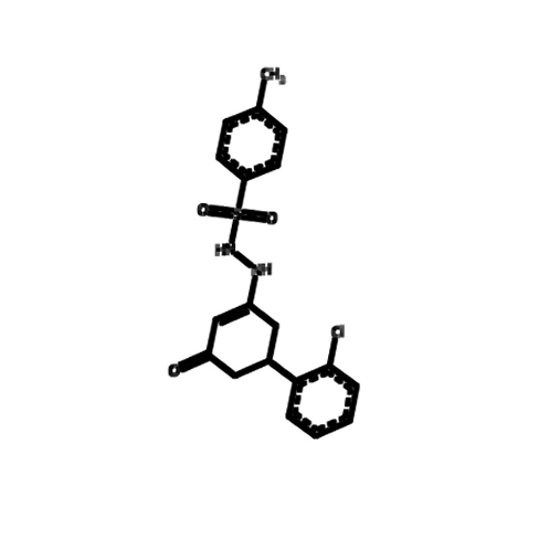 Cc1ccc(S(=O)(=O)NNC2=CC(=O)CC(c3ccccc3Cl)C2)cc1